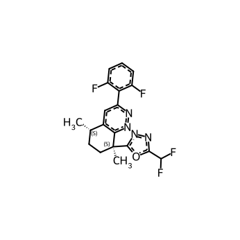 C[C@H]1CC[C@](C)(c2nnc(C(F)F)o2)c2nnc(-c3c(F)cccc3F)cc21